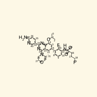 CC(C)Oc1cc(-c2cccc(NS(=O)(=O)CCCF)c2F)cc2c(N3CCOC[C@H]3C)nc(-c3ccc(N)nc3)nc12